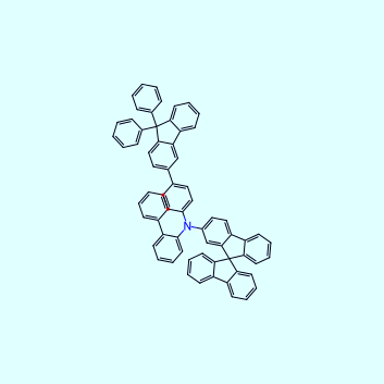 c1ccc(-c2ccccc2N(c2ccc(-c3ccc4c(c3)-c3ccccc3C4(c3ccccc3)c3ccccc3)cc2)c2ccc3c(c2)C2(c4ccccc4-c4ccccc42)c2ccccc2-3)cc1